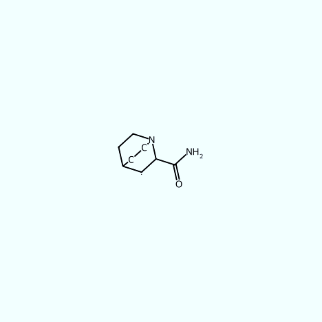 NC(=O)C1[CH]C2CCN1CC2